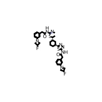 C/N=C(/NC(=O)Cc1cccc(N2CC(F)C2)c1)SC(C)[C@H]1CCC[C@H](c2nnc(NC(=O)Cc3cccc(N4CC(F)C4)c3)s2)C1